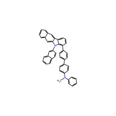 CN(c1ccccc1)c1ccc(-c2ccc(-c3cccc4c5cc6ccccc6cc5n(-c5ccc6ccccc6c5)c34)cc2)cc1